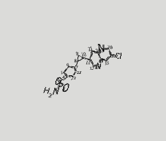 NS(=O)(=O)c1ccc(C2CC2c2cnc3cc(Cl)cnc3c2)cc1